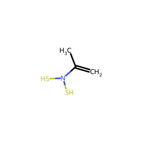 C=C(C)N(S)S